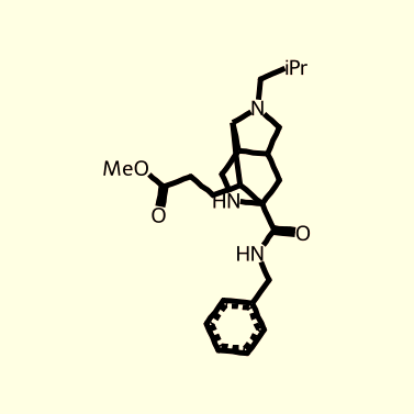 COC(=O)CCC1C2C3CNC1(C(=O)NCc1ccccc1)CC3CN2CC(C)C